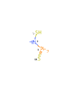 S=[PH2]NS